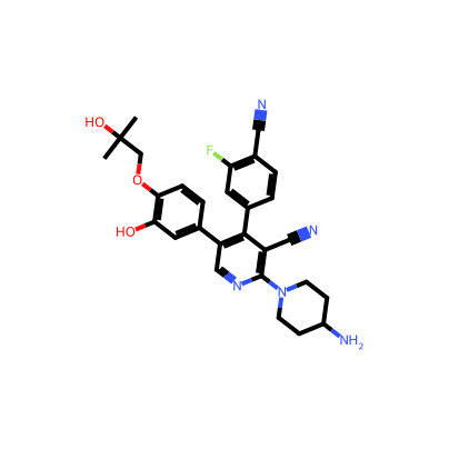 CC(C)(O)COc1ccc(-c2cnc(N3CCC(N)CC3)c(C#N)c2-c2ccc(C#N)c(F)c2)cc1O